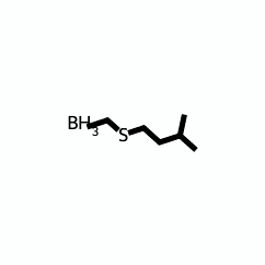 B.CCSCCC(C)C